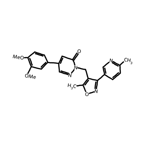 COc1ccc(-c2cnn(Cc3c(-c4ccc(C)nc4)noc3C)c(=O)c2)cc1OC